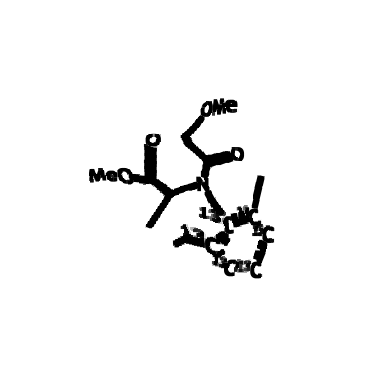 COCC(=O)N(C(C)C(=O)OC)[13c]1[13c](C)[13cH][13cH][13cH][13c]1C